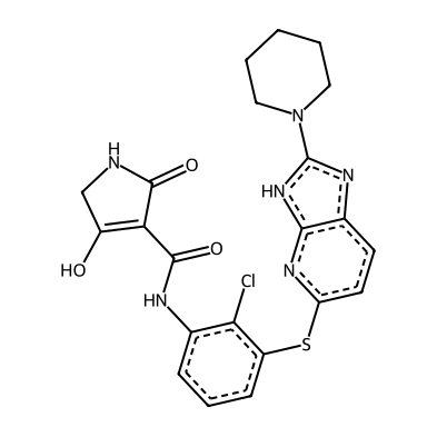 O=C1NCC(O)=C1C(=O)Nc1cccc(Sc2ccc3nc(N4CCCCC4)[nH]c3n2)c1Cl